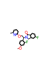 COc1ccc(C(COc2cccc(C)n2)N2Cc3cc(F)ccc3C2=O)c(F)c1